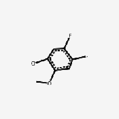 [CH2]c1cc(OC)c(Cl)cc1F